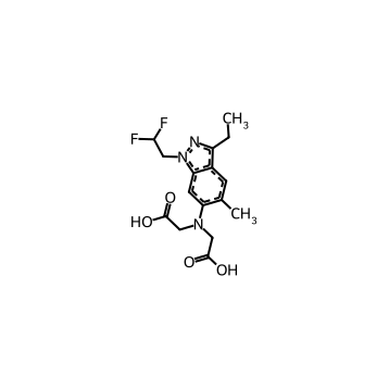 CCc1nn(CC(F)F)c2cc(N(CC(=O)O)CC(=O)O)c(C)cc12